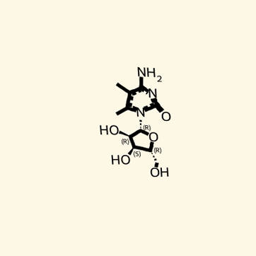 Cc1c(N)nc(=O)n([C@@H]2O[C@H](CO)[C@@H](O)[C@H]2O)c1C